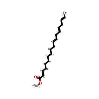 CC/C=C/C/C=C/C/C=C/CCCCCCC/C=C/C(=O)OC(C)(C)C